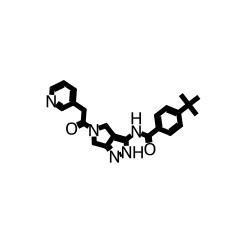 CC(C)(C)c1ccc(C(=O)Nc2[nH]nc3c2CN(C(=O)Cc2cccnc2)C3)cc1